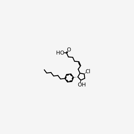 CCCCCCc1ccc([C@@H]2C(C/C=C\CCCC(=O)O)[C@H](Cl)C[C@H]2O)cc1